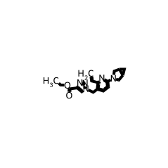 C=Cc1nc(N2CC3CC3C2)ccc1Cn1cc(C(=O)OCC)nn1